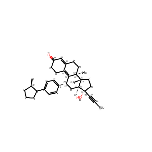 C[C@@H]1CCCC1c1ccc([C@H]2C[C@@]3(C)[C@@H](CC[C@@]3(O)C#CC(C)(C)C)[C@@H]3CCC4=CC(=O)CCC4=C32)cc1